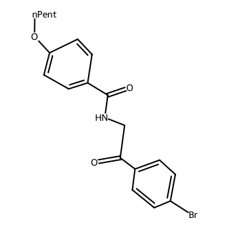 CCCCCOc1ccc(C(=O)NCC(=O)c2ccc(Br)cc2)cc1